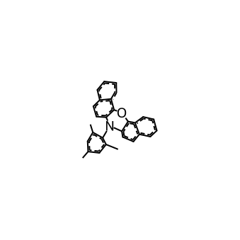 Cc1cc(C)c(N2c3ccc4ccccc4c3Oc3c2ccc2ccccc32)c(C)c1